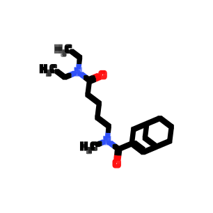 CCN(CC)C(=O)CCCCN(C)C(=O)C1=CC2CCCC(C1)C2